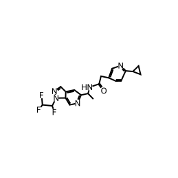 CC(NC(=O)Cc1ccc(C2CC2)nc1)c1cc2cnn(C(F)C(F)F)c2cn1